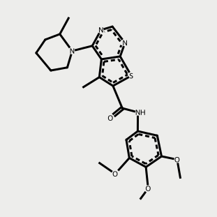 COc1cc(NC(=O)c2sc3ncnc(N4CCCCC4C)c3c2C)cc(OC)c1OC